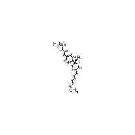 CCCCCCCC1CCC(C#N)(C2CCC(CCCCC)CC2)CC1